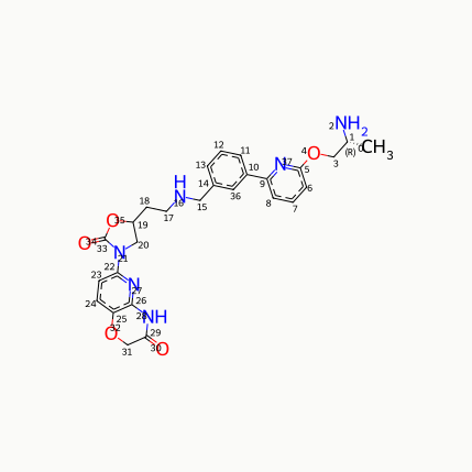 C[C@@H](N)COc1cccc(-c2cccc(CNCCC3CN(c4ccc5c(n4)NC(=O)CO5)C(=O)O3)c2)n1